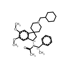 COc1cc2c(cc1OC)C1(CCN(CC3CCCCC3)CC1)C[C@@H]2N(C(C)=O)[C@@H](C)c1ccccc1